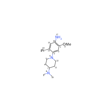 COc1cc(N2CCC(N(C)C)CC2)c(C(C)C)cc1N